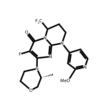 COc1cc(N2CCC(C(F)(F)F)n3c2nc(N2CCOC[C@H]2C)c(F)c3=O)ccn1